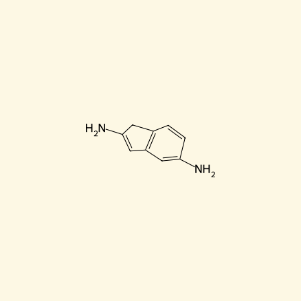 NC1=Cc2cc(N)ccc2C1